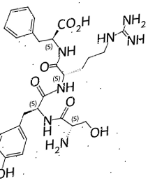 N=C(N)NCCC[C@H](NC(=O)[C@H](Cc1ccc(O)cc1)NC(=O)[C@@H](N)CO)C(=O)N[C@@H](Cc1ccccc1)C(=O)O